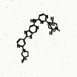 CN1C[C@@H]2C[C@H]1CN2c1nccc(Nc2cc3nc(-c4ccnc(N5CC[C@@H](F)C5)c4)sc3cn2)n1